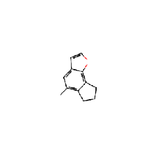 CC(C)c1cc2ccoc2c2c1CCC2